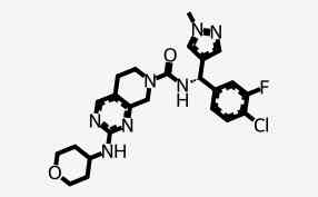 Cn1cc([C@@H](NC(=O)N2CCc3cnc(NC4CCOCC4)nc3C2)c2ccc(Cl)c(F)c2)cn1